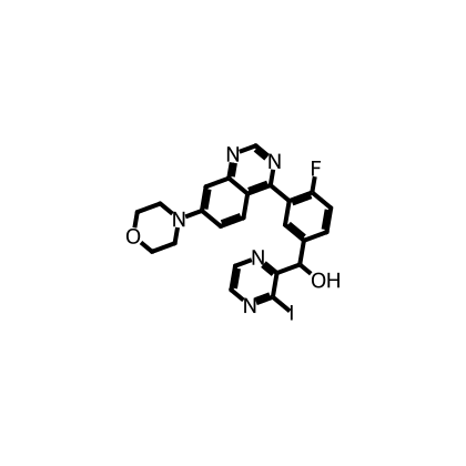 OC(c1ccc(F)c(-c2ncnc3cc(N4CCOCC4)ccc23)c1)c1nccnc1I